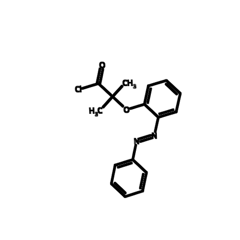 CC(C)(Oc1ccccc1/N=N/c1ccccc1)C(=O)Cl